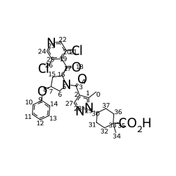 Cc1c(C(=O)N2C[C@@H](Oc3ccccc3)C[C@H]2C(=O)c2c(Cl)cncc2Cl)cnn1[C@H]1CC[C@](C)(C(=O)O)CC1